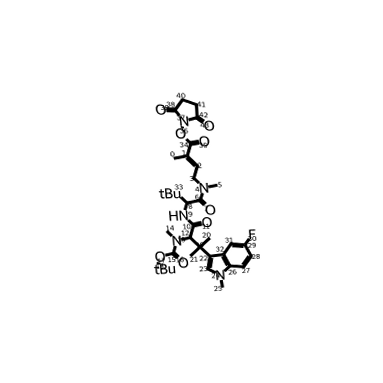 C/C(=C\CN(C)C(=O)C(NC(=O)C(N(C)C(=O)OC(C)(C)C)C(C)(C)c1cn(C)c2ccc(F)cc12)C(C)(C)C)C(=O)ON1C(=O)CCC1=O